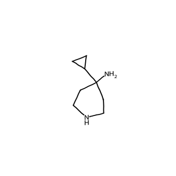 NC1(C2CC2)CCNCC1